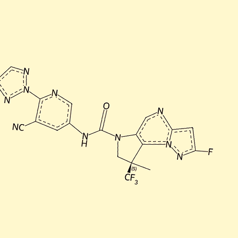 C[C@]1(C(F)(F)F)CN(C(=O)Nc2cnc(-n3nccn3)c(C#N)c2)c2cnc3cc(F)nn3c21